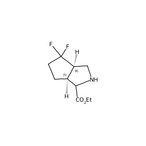 CCOC(=O)C1NC[C@H]2[C@@H]1CCC2(F)F